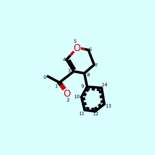 CC(=O)C1=COCCC1c1ccccc1